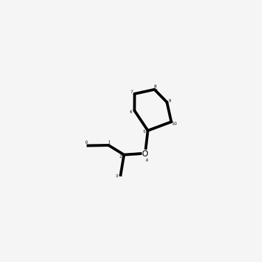 CCC(C)OC1CC[CH]CC1